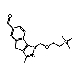 C[Si](C)(C)CCOCn1nc(I)c2c1-c1ccc(C=O)cc1C2